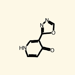 O=c1cc[nH]cc1-c1nnco1